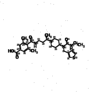 CONC(=O)N(Cc1ccsc1)C1CCN([C@H](C)CCNC(=O)c2c(C)cc(C(=O)O)cc2C)CC1